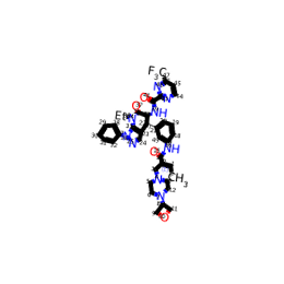 C/C=C(\CN1CCN(C2COC2)CC1)C(=O)Nc1cccc([C@@H]2c3cnn(-c4ccccc4)c3N(CC)C(=O)[C@H]2NC(=O)c2nccc(C(F)(F)F)n2)c1